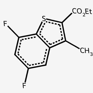 CCOC(=O)c1sc2c(F)cc(F)cc2c1C